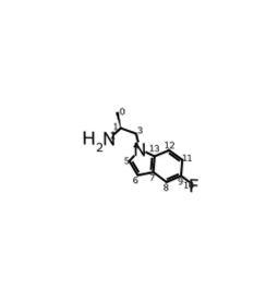 C[C@H](N)Cn1ccc2cc(F)ccc21